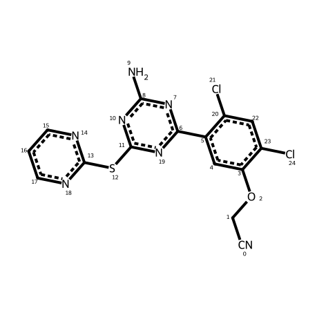 N#CCOc1cc(-c2nc(N)nc(Sc3ncccn3)n2)c(Cl)cc1Cl